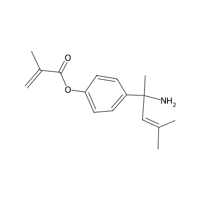 C=C(C)C(=O)Oc1ccc(C(C)(N)C=C(C)C)cc1